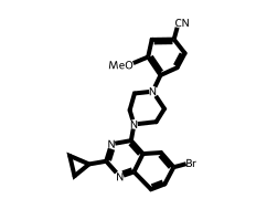 COc1cc(C#N)ccc1N1CCN(c2nc(C3CC3)nc3ccc(Br)cc23)CC1